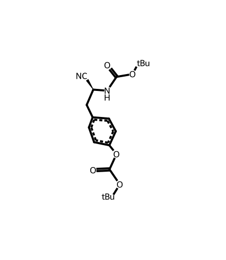 CC(C)(C)OC(=O)N[C@H](C#N)Cc1ccc(OC(=O)OC(C)(C)C)cc1